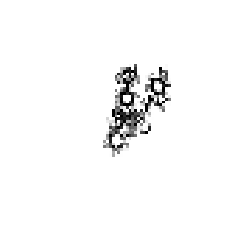 O=C(NCCN1CCc2cc(F)ccc21)[C@H](CC1CCCCC1)NS(=O)(=O)c1ccc(-c2cnco2)cc1